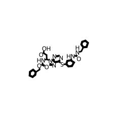 O=C(O)CC(NC(=O)OCc1ccccc1)n1cnc2c(Sc3cccc(NC(=O)NCc4ccccc4)c3)ncnc21